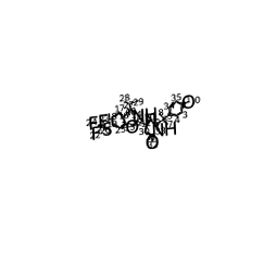 COc1ccc(C(C)(C)c2nc(C(=O)N[C@@H](c3ccc(SC(F)(F)F)cc3)C(C)C)cc(=O)[nH]2)cc1